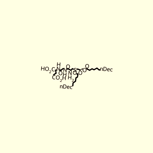 CCCCCCCCCCCCCCCC(=O)OC[C@H](CSC[C@H](N)C(=O)NCC(=O)N[C@H](CCC(=O)O)C(=O)O)OC(=O)CCCCCCCCCCCCCCC